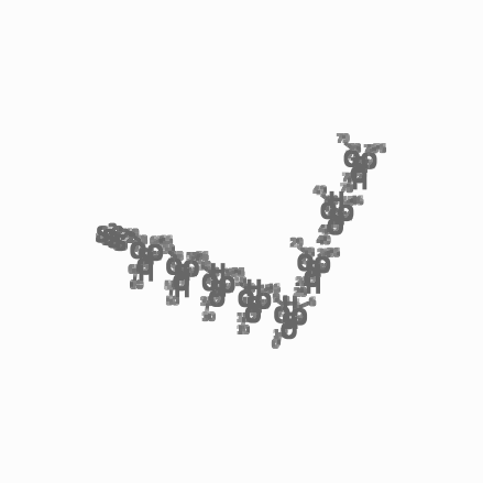 CCO[SiH](OCC)OCC.CCO[SiH](OCC)OCC.CCO[SiH](OCC)OCC.CCO[SiH](OCC)OCC.CCO[SiH](OCC)OCC.CCO[SiH](OCC)OCC.CCO[SiH](OCC)OCC.CCO[SiH](OCC)OCC.[S-2].[S-2].[S-2].[S-2]